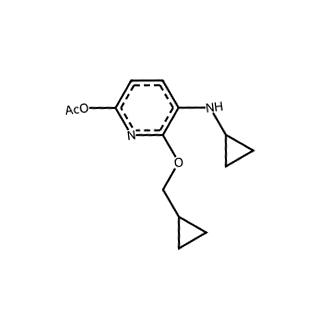 CC(=O)Oc1ccc(NC2CC2)c(OCC2CC2)n1